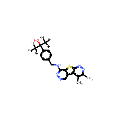 [2H]C([2H])([2H])C(O)(c1ccc(CNc2nncc3c2sc2nnc(C)c(C)c23)cc1)C([2H])([2H])[2H]